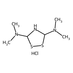 CN(C)C1NC(N(C)C)SS1.Cl